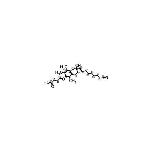 Cc1c(C)c2c(c(C)c1OCCCC(=O)O)CCC(C)(C=CCCCCCCC#N)O2